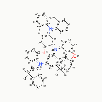 Cc1ccccc1N(C1=CC=C2B3c4c(cc(C(C)(C)C)cc4-n4c5c(c6cccc3c64)C(C)(C)c3ccccc3-5)N(c3cccc4oc5ccccc5c34)C2C1)c1ccccc1C